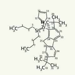 CCCC[Si](CCCC)=[Zr]([C]1=CC=CC1)[c]1c(C(C)(C)C)ccc2c1Cc1cc(C(C)(C)C)ccc1-2